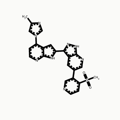 Cc1cn(-c2ccnc3[nH]c(-c4n[nH]c5ncc(-c6cnccc6S(C)(=O)=O)cc45)cc23)cn1